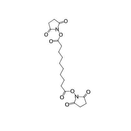 O=C(CCCCCCCCC(=O)ON1C(=O)CCC1=O)ON1C(=O)CCC1=O